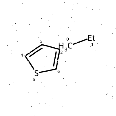 CCC.c1ccsc1